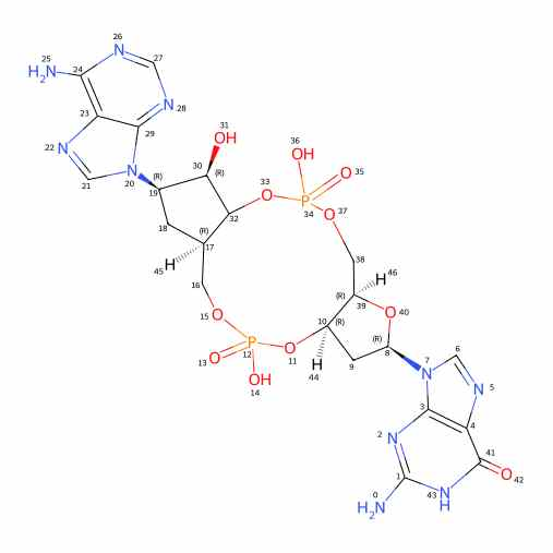 Nc1nc2c(ncn2[C@H]2C[C@H]3OP(=O)(O)OC[C@H]4C[C@@H](n5cnc6c(N)ncnc65)[C@@H](O)C4OP(=O)(O)OC[C@H]3O2)c(=O)[nH]1